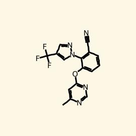 Cc1cc(Oc2cccc(C#N)c2-n2cc(C(F)(F)F)cn2)ncn1